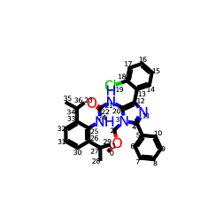 COCn1c(-c2ccccc2)nc(-c2ccccc2Cl)c1NC(=O)Nc1c(C(C)C)cccc1C(C)C